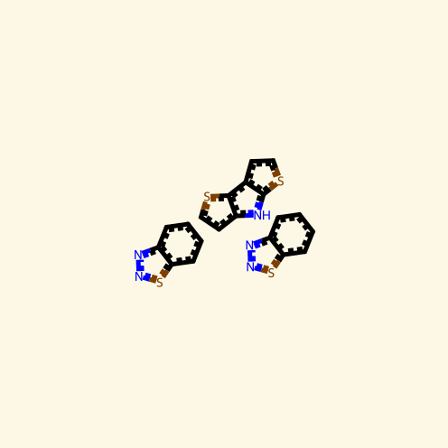 c1cc2c([nH]c3ccsc32)s1.c1ccc2snnc2c1.c1ccc2snnc2c1